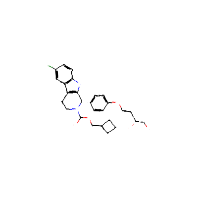 OC[C@@H](O)CCOc1ccc([C@H]2c3[nH]c4ccc(Cl)cc4c3CCN2C(O)OCC2CCC2)cc1